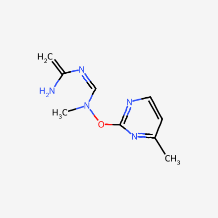 C=C(N)/N=C\N(C)Oc1nccc(C)n1